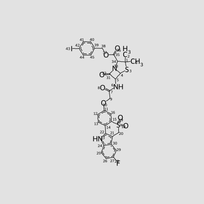 CC1(C)SC2C(NC(=O)COc3ccc4c(c3)S(=O)(=O)Cc3c-4[nH]c4ccc(F)cc34)C(=O)N2C1C(=O)OCc1ccc(I)cc1